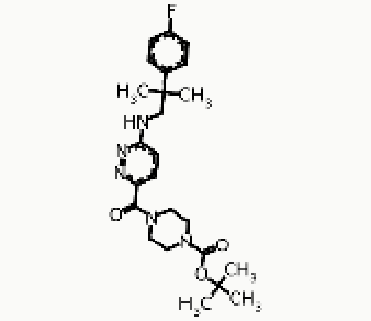 CC(C)(C)OC(=O)N1CCN(C(=O)c2ccc(NCC(C)(C)c3ccc(F)cc3)nn2)CC1